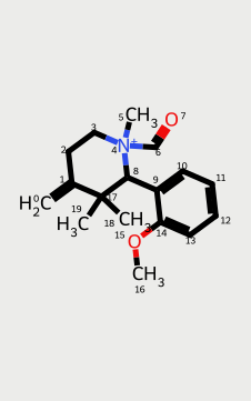 C=C1CC[N+](C)(C=O)C(c2ccccc2OC)C1(C)C